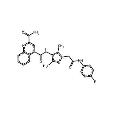 Cc1nn(CC(=O)Nc2ccc(F)cc2)c(C)c1NC(=O)c1cc(C(N)=O)nc2ccccc12